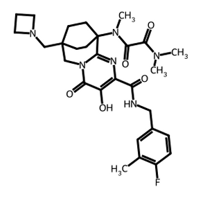 Cc1cc(CNC(=O)c2nc3n(c(=O)c2O)CC2(CN4CCC4)CCC3(N(C)C(=O)C(=O)N(C)C)CC2)ccc1F